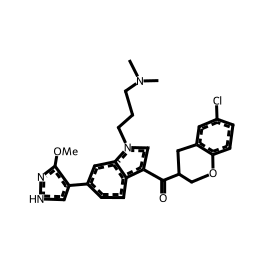 COc1n[nH]cc1-c1ccc2c(C(=O)C3COc4ccc(Cl)cc4C3)cn(CCCN(C)C)c2c1